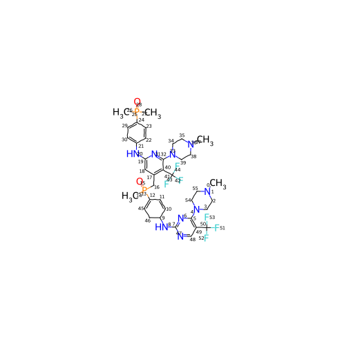 CN1CCN(c2nc(NC3C=CC(P(C)(=O)Cc4cc(Nc5ccc(P(C)(C)=O)cc5)nc(N5CCN(C)CC5)c4C(F)(F)F)=CC3)ncc2C(F)(F)F)CC1